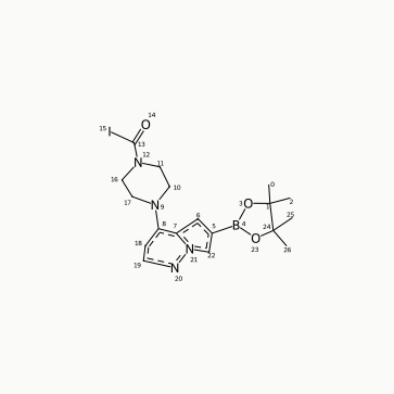 CC1(C)OB(c2cc3c(N4CCN(C(=O)I)CC4)ccnn3c2)OC1(C)C